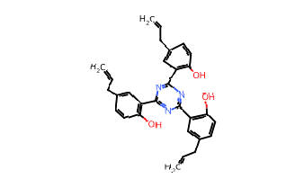 C=CCc1ccc(O)c(-c2nc(-c3cc(CC=C)ccc3O)nc(-c3cc(CC=C)ccc3O)n2)c1